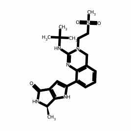 C[C@H]1NC(=O)c2cc(-c3cccc4c3N=C(NC(C)(C)C)N(CCS(C)(=O)=O)C4)[nH]c21